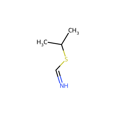 CC(C)SC=N